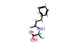 CC(CCc1ccccc1)NC(C)C(=O)O